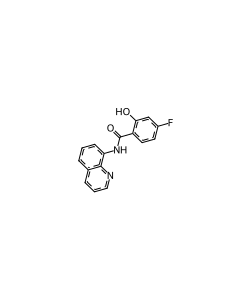 O=C(Nc1cccc2cccnc12)c1ccc(F)cc1O